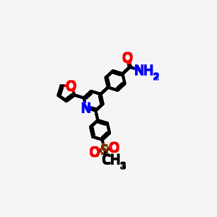 CS(=O)(=O)c1ccc(-c2cc(-c3ccc(C(N)=O)cc3)cc(-c3ccco3)n2)cc1